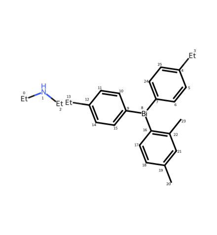 CCNCC.CCc1cc[c]([Bi]([c]2ccc(CC)cc2)[c]2ccc(C)cc2C)cc1